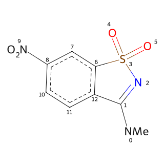 CNC1=NS(=O)(=O)c2cc([N+](=O)[O-])ccc21